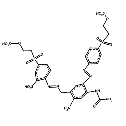 NC(=O)Nc1cc(N)c(C/N=N/c2ccc(S(=O)(=O)CCOS(=O)(=O)O)cc2S(=O)(=O)O)cc1/N=N/c1ccc(S(=O)(=O)CCOS(=O)(=O)O)cc1